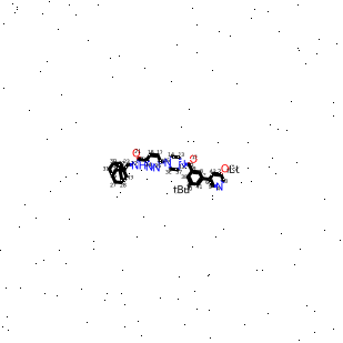 CCOc1cncc(-c2cc(C(=O)N3CCN(c4ccc(C(=O)NCC56CC7CC(CC(C7)C5)C6)nn4)CC3)cc(C(C)(C)C)c2)c1